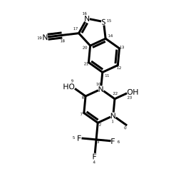 CN1C(C(F)(F)F)=CC(O)N(c2ccc3snc(C#N)c3c2)C1O